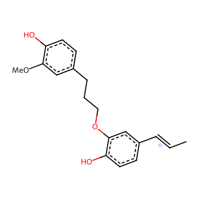 C/C=C/c1ccc(O)c(OCCCc2ccc(O)c(OC)c2)c1